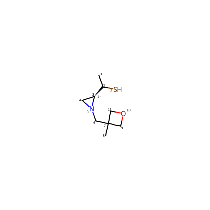 CC(S)[C@@H]1CN1CC1(C)COC1